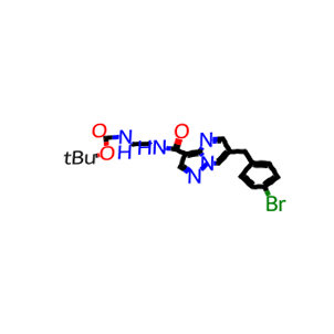 CC(C)(C)OC(=O)NCCNC(=O)c1cnn2cc(Cc3ccc(Br)cc3)cnc12